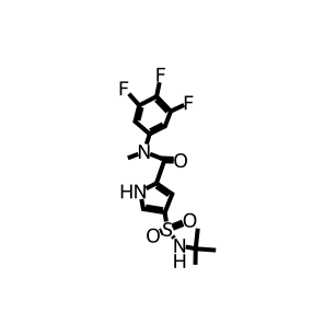 CN(C(=O)c1cc(S(=O)(=O)NC(C)(C)C)c[nH]1)c1cc(F)c(F)c(F)c1